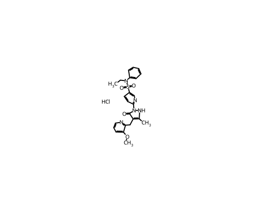 CCN(c1ccccc1)S(=O)(=O)c1ccc(-n2[nH]c(C)c(Cc3ncccc3OC)c2=O)nc1.Cl